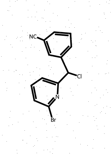 N#Cc1cccc(C(Cl)c2cccc(Br)n2)c1